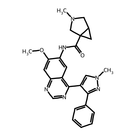 COc1cc2ncnc(-c3cn(C)nc3-c3ccccc3)c2cc1NC(=O)C12CC1CN(C)C2